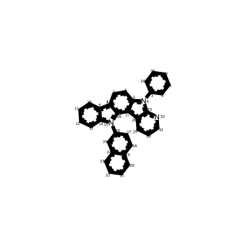 c1ccc(-n2c3ccc4c5ccccc5n(-c5ccc6ccccc6c5)c4c3c3cccnc32)cc1